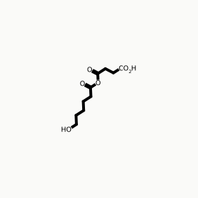 O=C(O)CCC(=O)OC(=O)CCCCCO